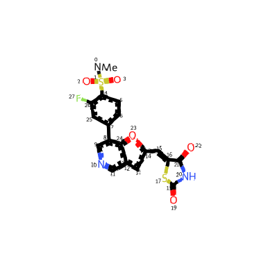 CNS(=O)(=O)c1ccc(-c2cncc3cc(/C=C4\SC(=O)NC4=O)oc23)cc1F